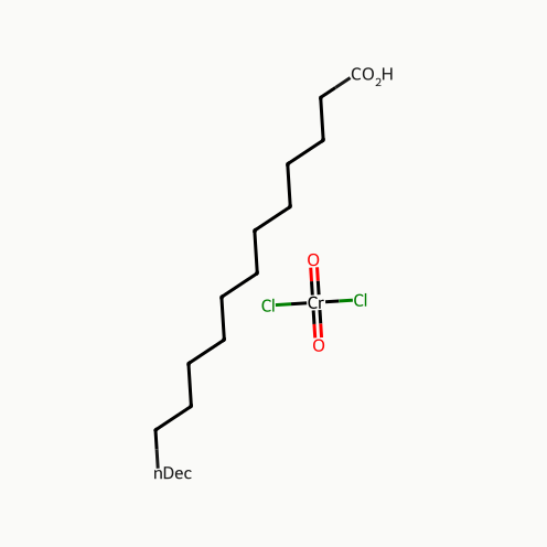 CCCCCCCCCCCCCCCCCCCCCC(=O)O.[O]=[Cr](=[O])([Cl])[Cl]